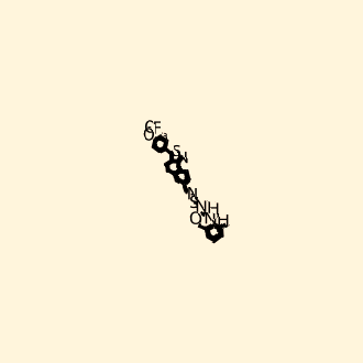 Cc1cccc(C)c1NC(=O)NS/N=C/c1ccc2c(ccc3c(-c4ccc(OC(F)(F)F)cc4)snc32)c1